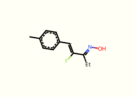 CCC(=NO)C(F)=[C]c1ccc(C)cc1